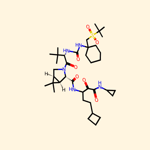 CC(C)(C)[C@H](NC(=O)NC1(CS(=O)(=O)C(C)(C)C)CCCCC1)C(=O)N1C[C@H]2[C@@H]([C@H]1C(=O)NC(CCC1CCC1)C(=O)C(=O)NC1CC1)C2(C)C